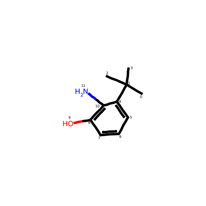 CC(C)(C)c1cccc(O)c1N